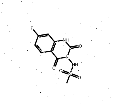 CS(=O)(=O)Nn1c(=O)[nH]c2cc(F)ccc2c1=O